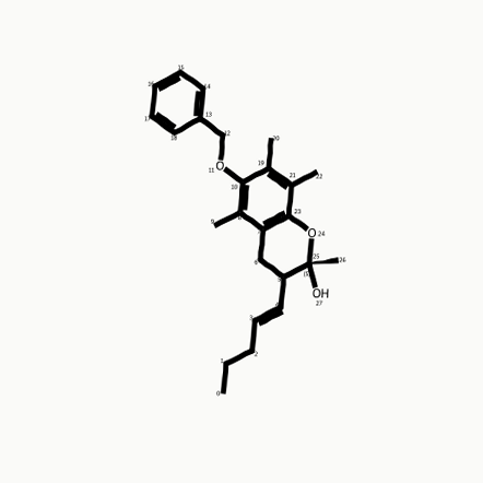 CCCC=CC1Cc2c(C)c(OCc3ccccc3)c(C)c(C)c2O[C@]1(C)O